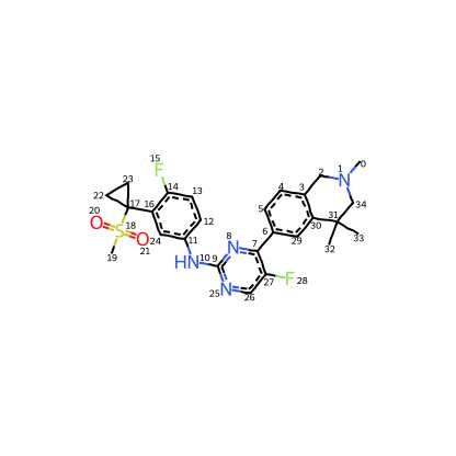 CN1Cc2ccc(-c3nc(Nc4ccc(F)c(C5(S(C)(=O)=O)CC5)c4)ncc3F)cc2C(C)(C)C1